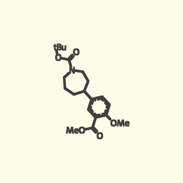 COC(=O)c1cc(C2CCCN(C(=O)OC(C)(C)C)CC2)ccc1OC